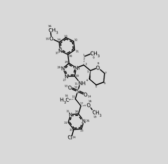 CC[C@H]([C@@H]1CCCCO1)n1c(NS(=O)(=O)[C@@H](C)[C@H](OC)c2ncc(Cl)cn2)nnc1-c1cccc(OC)n1